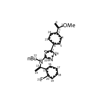 C=C(OC)c1ccc(-c2nnc(N(CCCC)C(=C)c3ccccc3F)s2)cc1